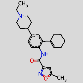 CCN1CCC(c2ccc(NC(=O)c3cc(C)on3)c(C3=CCCCC3)c2)CC1